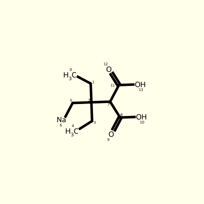 CCC(CC)([CH2][Na])C(C(=O)O)C(=O)O